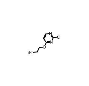 CC(C)CCOc1ccnc(Cl)n1